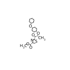 COC(=O)c1csc(C(=O)C(C)Oc2ccc(Oc3ccccc3)cc2)n1